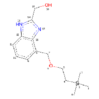 C[Si](C)(C)CCOCc1cccc2[nH]c(CO)nc12